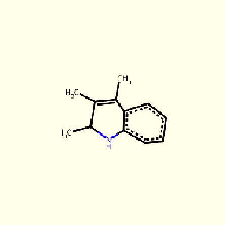 CC1=C(C)C(C)Nc2ccccc21